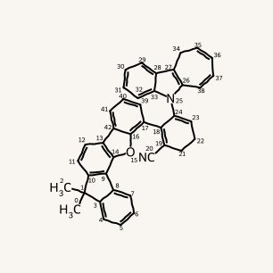 CC1(C)c2ccccc2-c2c1ccc1c2oc2c(C3=C(C#N)CCC=C3n3c4c(c5ccccc53)CC=CC=C4)cccc21